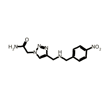 NC(=O)Cn1cc(CNCc2ccc([N+](=O)[O-])cc2)nn1